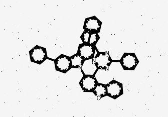 c1ccc(-c2ccc3c(c2)c2cc(-c4ccccc4)ccc2n3-c2ccc3oc4ccccc4c3c2-c2nc(-c3ccccc3)nc(-c3ccccc3)n2)cc1